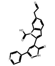 O=CCc1ccc2cc(-c3cc(-c4ccncc4)n[nH]c3=O)n(C(=O)O)c2c1